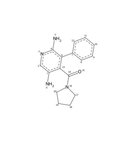 Nc1[c]nc(N)c(-c2ccccc2)c1C(=O)N1CCCC1